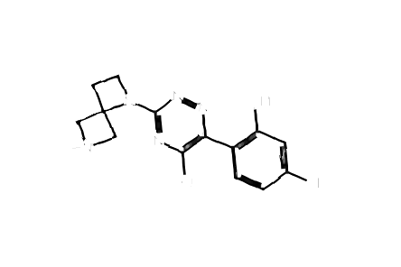 Cc1nc(N2CCC23CNC3)nnc1-c1ccc(C(F)(F)F)cc1O